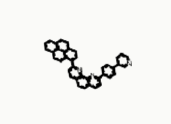 c1cncc(-c2ccc(-c3ccc4ccc5ccc(-c6ccc7ccc8cccc9ccc6c7c89)nc5c4n3)cc2)c1